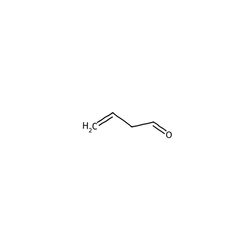 C=CCC=O